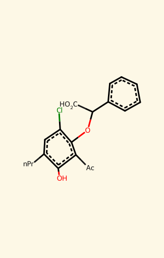 CCCc1cc(Cl)c(OC(C(=O)O)c2ccccc2)c(C(C)=O)c1O